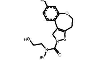 CC(C)N(CCO)C(=O)N1CC2=C(CCOc3cc(Br)ccc32)S1